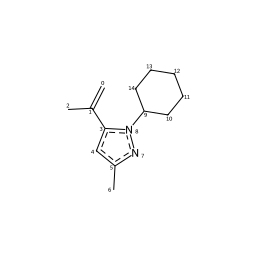 C=C(C)c1cc(C)nn1C1CCCCC1